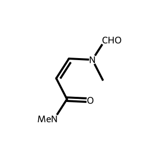 CNC(=O)/C=C\N(C)C=O